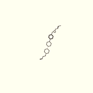 C=CCC[C@H]1CC[C@H](C2CCC(c3ccc(COCC=CC)cc3)CC2)CC1